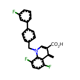 C=C1C(C(=O)O)=CN(Cc2ccc(-c3cccc(F)c3)cc2)c2c(F)ccc(F)c21